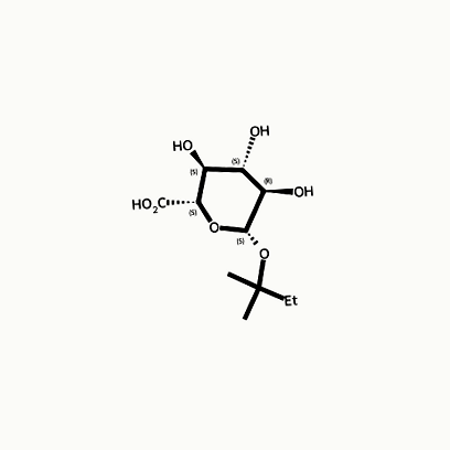 CCC(C)(C)O[C@@H]1O[C@H](C(=O)O)[C@@H](O)[C@H](O)[C@H]1O